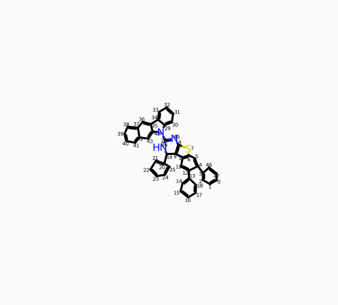 c1ccc(-c2cc3sc4c(c3cc2-c2ccccc2)C(c2ccccc2)NC(n2c3ccccc3c3cc5ccccc5cc32)=N4)cc1